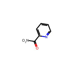 O=C(c1ccccn1)[N+](=O)[O-]